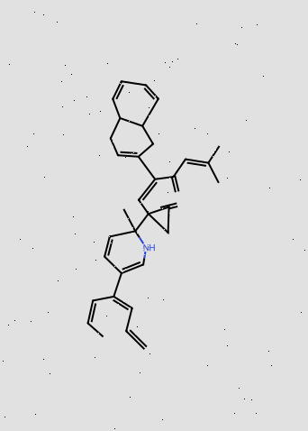 C=C/C=C(\C=C/C)C1=CNC(C)(C2(/C=C(\C(=C)C=C(C)C)C3=CCC4C=CC=CC4C3)CC2=C)C=C1